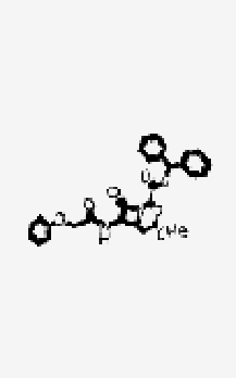 CO[C@@H]1CC2C(NC(=O)COc3ccccc3)C(=O)N2[C@@H](C(=O)OC(c2ccccc2)c2ccccc2)O1